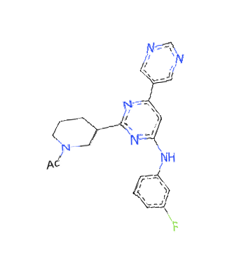 CC(=O)N1CCCC(c2nc(Nc3cccc(F)c3)cc(-c3cncnc3)n2)C1